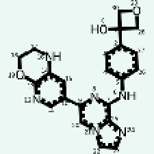 OC1(c2ccc(Nc3nc(-c4cnc5c(c4)NCCO5)cn4ccnc34)cc2)COC1